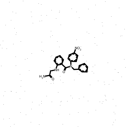 NC(=O)CNc1ccccc1C(=O)N(Cc1ccccc1)c1ccc([N+](=O)[O-])cc1